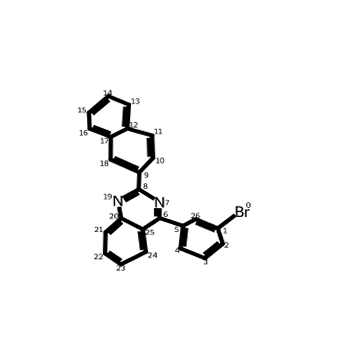 Brc1cccc(-c2nc(-c3ccc4ccccc4c3)nc3ccccc23)c1